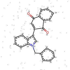 O=C1C=C(c2cn(Cc3ccccc3)c3ccccc23)C(=O)c2ccccc21